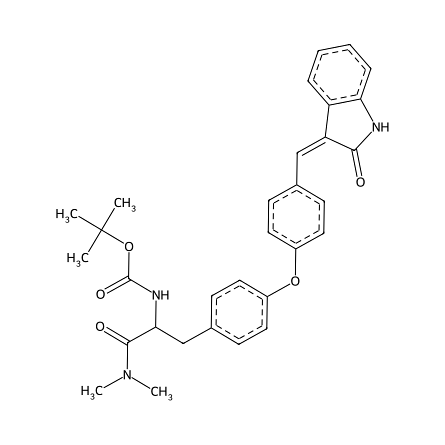 CN(C)C(=O)C(Cc1ccc(Oc2ccc(C=C3C(=O)Nc4ccccc43)cc2)cc1)NC(=O)OC(C)(C)C